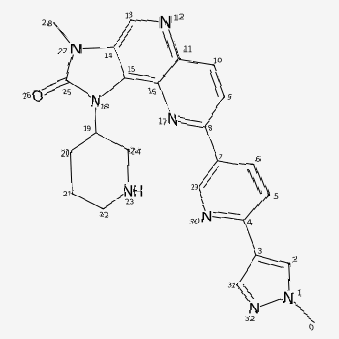 Cn1cc(-c2ccc(-c3ccc4ncc5c(c4n3)n(C3CCCNC3)c(=O)n5C)cn2)cn1